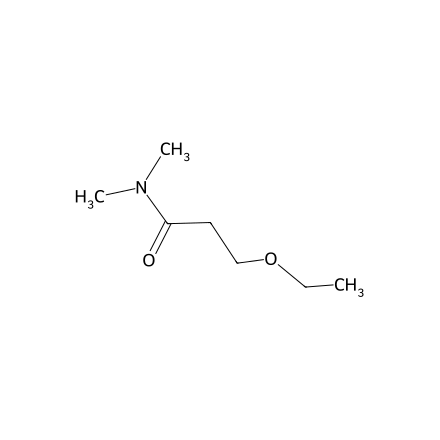 CCOCCC(=O)N(C)C